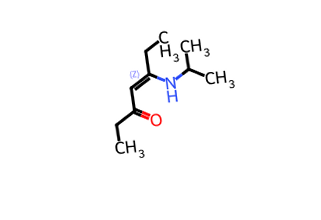 CCC(=O)/C=C(/CC)NC(C)C